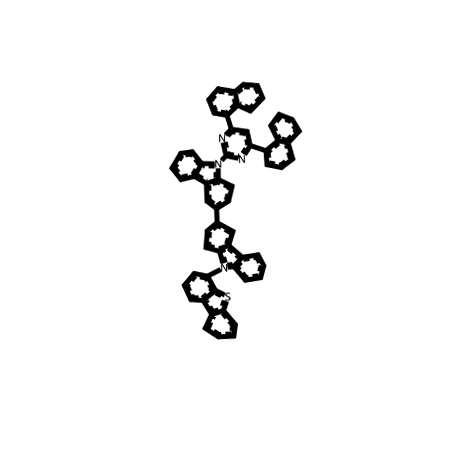 c1ccc2c(-c3cc(-c4cccc5ccccc45)nc(-n4c5ccccc5c5cc(-c6ccc7c(c6)c6ccccc6n7-c6cccc7c6sc6ccccc67)ccc54)n3)cccc2c1